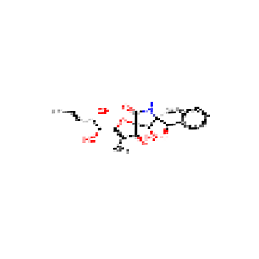 CC/C=C/[C@H](O)[C@H](O)C1=C(C)C(=O)[C@]2(O1)C(=O)N[C@@](OC)(C(=O)c1ccccc1)[C@H]2O